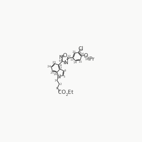 CCOC(=O)CCCn1ccc2c(-c3noc(-c4ccc(OC(C)C)c(Cl)c4)n3)cccc21